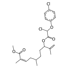 C=C(C)C(CCC(C)CC=C(C)C(=O)OC)OC(=O)C(Cl)Oc1ccc(Cl)cc1